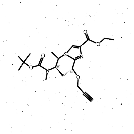 C#CCO[C@H](C[C@H](C(C)C)N(C)C(=O)OC(C)(C)C)c1nc(C(=O)OCC)cs1